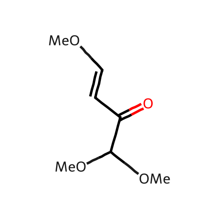 CO/C=C/C(=O)C(OC)OC